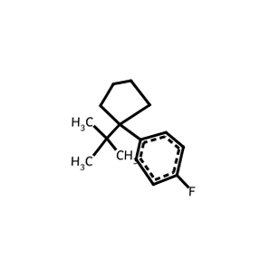 CC(C)(C)C1(c2ccc(F)cc2)CCCC1